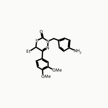 CCC1SC(=O)N(Cc2ccc(N)cc2)N=C1c1ccc(OC)c(OC)c1